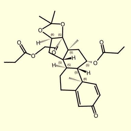 CCC(=O)OCC(=O)[C@@]12OC(C)(C)O[C@@H]1C[C@H]1[C@@H]3CCC4=CC(=O)C=C[C@]4(C)[C@H]3[C@@H](OC(=O)CC)C[C@@]12C